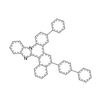 c1ccc(-c2ccc(-c3cc4c5cc(-c6ccccc6)ccc5n5c6ccccc6nc5c4c4ccccc34)cc2)cc1